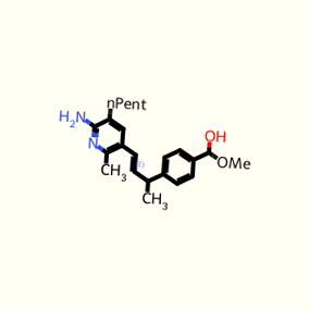 CCCCCc1cc(/C=C/C(C)c2ccc(C(O)OC)cc2)c(C)nc1N